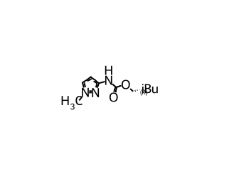 CC[C@@H](C)COC(=O)Nc1ccn(C)n1